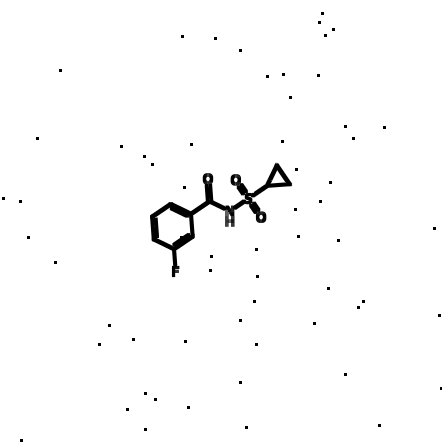 O=C(NS(=O)(=O)C1CC1)c1cccc(F)c1